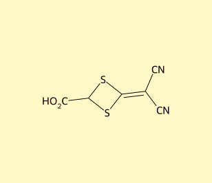 N#CC(C#N)=C1SC(C(=O)O)S1